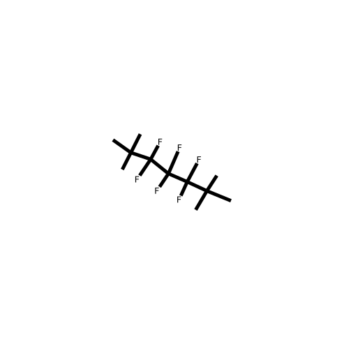 CC(C)(C)C(F)(F)C(F)(F)C(F)(F)C(C)(C)C